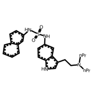 CCCN(CCC)CCc1c[nH]c2ccc(NS(=O)(=O)Nc3ccc4ccccc4c3)cc12